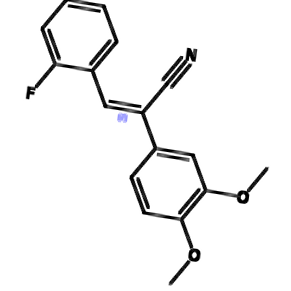 COc1ccc(/C(C#N)=C/c2ccccc2F)cc1OC